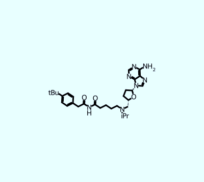 CC(C)N(CCCCC(=O)NC(=O)Cc1ccc(C(C)(C)C)cc1)C[C@@H]1CC[C@H](n2cnc3c(N)ncnc32)O1